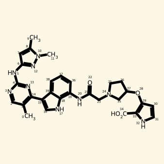 Cc1cnc(Nc2cc(C)n(C)n2)nc1-c1c[nH]c2c(NC(=O)CN3CCC(Oc4cc[nH]c4C(=O)O)C3)cccc12